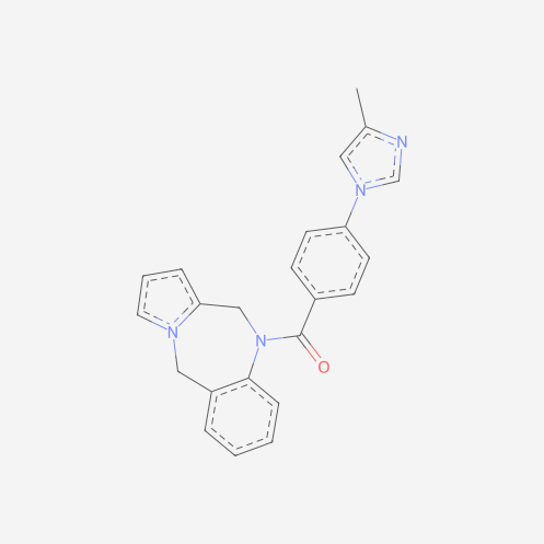 Cc1cn(-c2ccc(C(=O)N3Cc4cccn4Cc4ccccc43)cc2)cn1